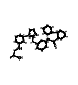 CC(O)CNc1nccc(-n2ccnc2Cc2cccc(NC(=O)c3ccccc3-c3ccccc3)c2)n1